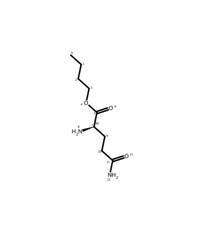 CCCCOC(=O)[C@H](N)CCC(N)=O